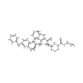 COCC(=O)C1CCC[C@@H](NC(=O)c2sc3nccc4c3c2NC(=O)N4c2ccc(Oc3ccccc3)cc2C)C1